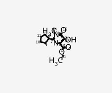 CCOC(=O)c1nc(C2CCCC2)n(C)c(=O)c1O